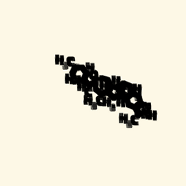 CC1=C2C[C@H]3[C@@H](CC[C@@H]4Cc5n[nH]c(C)c5C[C@@]43C)[C@@H]2CC[C@@]2(C1)O[C@@H]1C[C@H](C)CN[C@H]1[C@H]2C